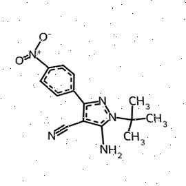 CC(C)(C)n1nc(-c2ccc([N+](=O)[O-])cc2)c(C#N)c1N